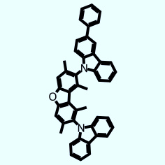 Cc1cc2oc3cc(C)c(-n4c5ccccc5c5cc(-c6ccccc6)ccc54)c(C)c3c2c(C)c1-n1c2ccccc2c2ccccc21